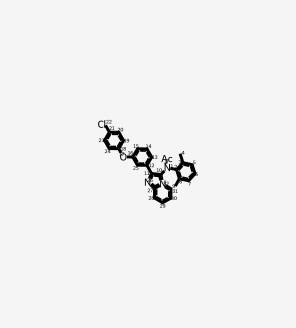 CC(=O)N(c1c(C)cccc1C)c1c(-c2cccc(Oc3ccc(Cl)cc3)c2)nc2ccccn12